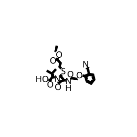 CCOC(=O)CCSC1C(NC(=O)COc2ccccc2C#N)C(=O)N1C(C(=O)O)=C(C)C